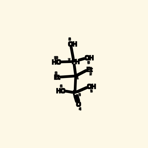 CCC(CC)(P(=O)(O)O)[PH](O)(O)O